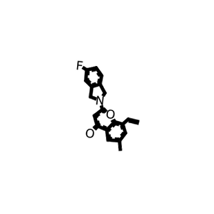 C=Cc1cc(C)cc2c(=O)cc(N3Cc4ccc(F)cc4C3)oc12